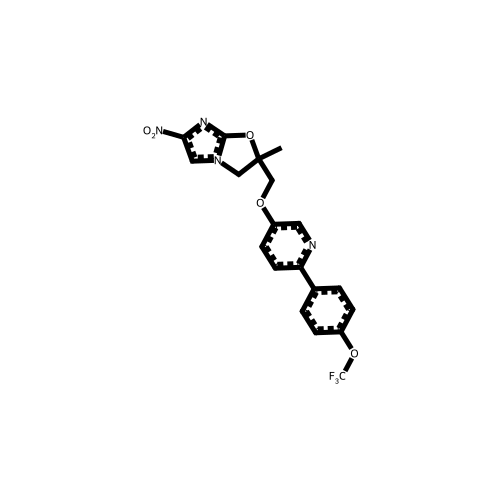 CC1(COc2ccc(-c3ccc(OC(F)(F)F)cc3)nc2)Cn2cc([N+](=O)[O-])nc2O1